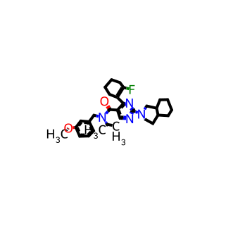 COc1cccc(CN(C(=O)c2cnc(N3CCC4CCCCC4C3)nc2C2=C(F)CCCC2)C(C)C)c1